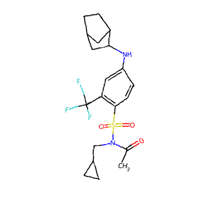 CC(=O)N(CC1CC1)S(=O)(=O)c1ccc(NC2CC3CCC2C3)cc1C(F)(F)F